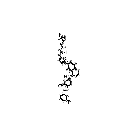 Fc1cccc(COc2ccc(Nc3ncnc4ccc(-c5ccc(CNCCSCC(F)(F)F)o5)cc34)cc2Cl)c1